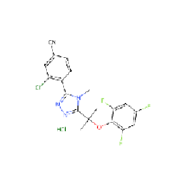 Cl.Cn1c(-c2ccc(C#N)cc2Cl)nnc1C(C)(C)Oc1c(F)cc(F)cc1F